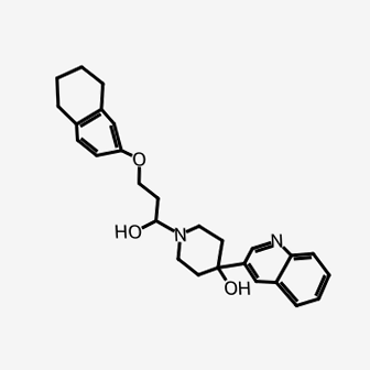 OC(CCOc1ccc2c(c1)CCCC2)N1CCC(O)(c2cnc3ccccc3c2)CC1